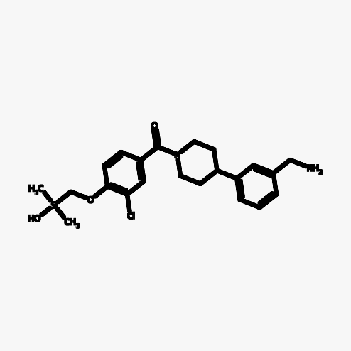 C[Si](C)(O)COc1ccc(C(=O)N2CCC(c3cccc(CN)c3)CC2)cc1Cl